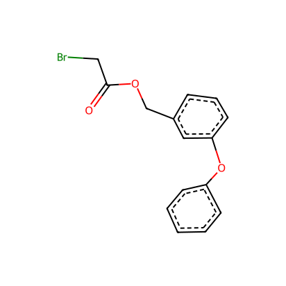 O=C(CBr)OCc1cccc(Oc2ccccc2)c1